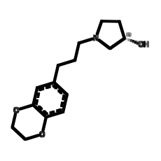 O[C@H]1CCN(CCCc2ccc3c(c2)OCCO3)C1